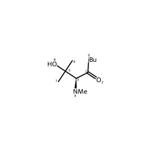 CCC(C)C(=O)[C@@H](NC)C(C)(C)O